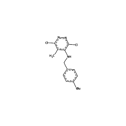 Cc1c(Cl)nnc(Cl)c1NCc1ccc(C(C)(C)C)cc1